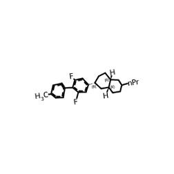 CCCC1CC[C@@H]2C[C@H](c3cc(F)c(-c4ccc(C)cc4)c(F)c3)CC[C@@H]2C1